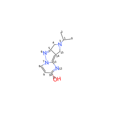 CC(C)N1Cc2nn3ccc(O)nc3c2C1